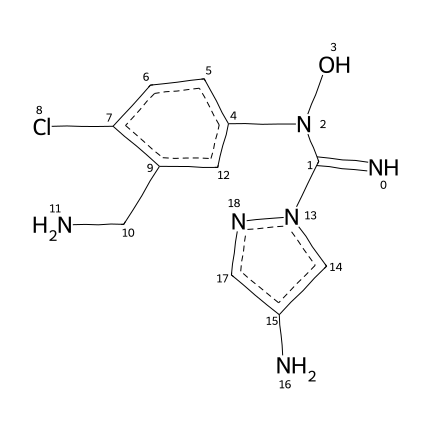 N=C(N(O)c1ccc(Cl)c(CN)c1)n1cc(N)cn1